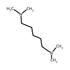 CN(C)CCCCCN(C)C